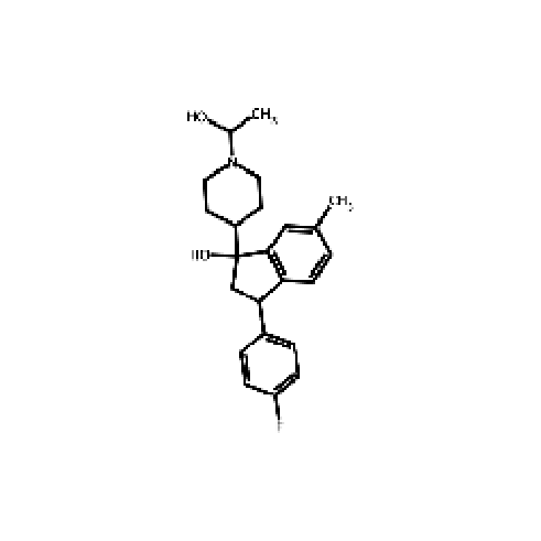 Cc1ccc2c(c1)C(O)(C1CCN(C(C)O)CC1)CC2c1ccc(F)cc1